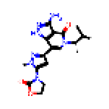 CC(C)[C@H](C)n1cc(-c2cc(N3CCOC3=O)n(C)n2)c2[nH]nc(N)c2c1=O